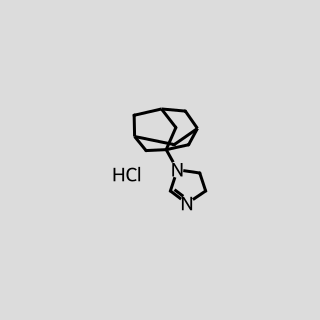 C1=NCCN1C12CC3CC(CC(C3)C1)C2.Cl